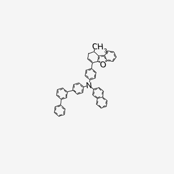 C[C@@H]1CC=C(c2ccc(N(c3ccc(-c4cccc(-c5ccccc5)c4)cc3)c3ccc4ccccc4c3)cc2)c2oc3ccccc3c21